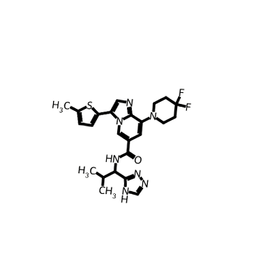 Cc1ccc(-c2cnc3c(N4CCC(F)(F)CC4)cc(C(=O)NC(c4nnc[nH]4)C(C)C)cn23)s1